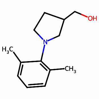 Cc1cccc(C)c1N1CCC(CO)C1